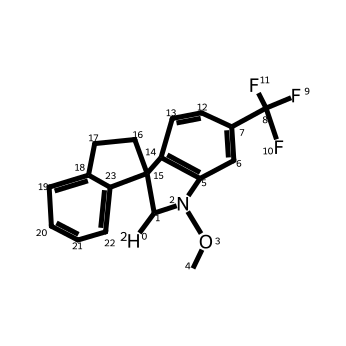 [2H]C1N(OC)c2cc(C(F)(F)F)ccc2C12CCc1ccccc12